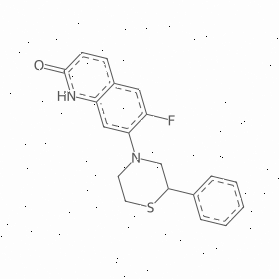 O=c1ccc2cc(F)c(N3CCSC(c4ccccc4)C3)cc2[nH]1